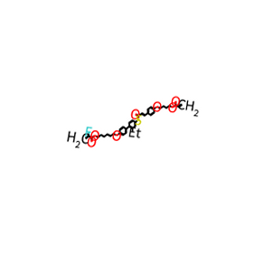 C=CC(=O)OCCCCOc1ccc(/C=C/C(=O)Sc2ccc(-c3ccc(OCCCCCCOC(=O)C(=C)F)cc3)c(CC)c2)cc1